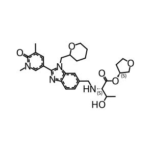 Cc1cc(-c2nc3ccc(CN[C@H](C(=O)O[C@H]4CCOC4)C(C)O)cc3n2CC2CCCCO2)cn(C)c1=O